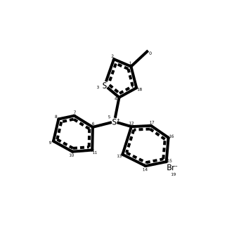 Cc1csc([S+](c2ccccc2)c2ccccc2)c1.[Br-]